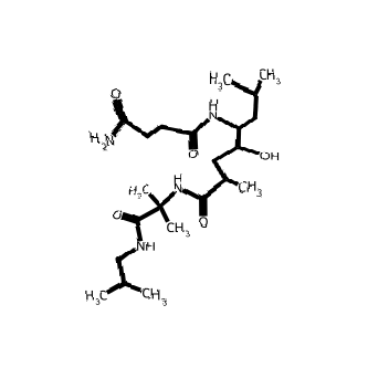 CC(C)CNC(=O)C(C)(C)NC(=O)C(C)CC(O)C(CC(C)C)NC(=O)CCC(N)=O